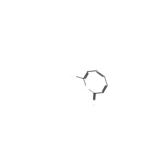 CC1=CC=CC=CC(=O)O1